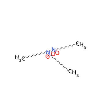 CCCCCCCCCCCCN(CC(=O)[N]C(=O)CCCCCCCCCCC)C(=O)CCCCCCCCCCC